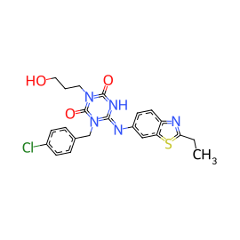 CCc1nc2ccc(/N=c3\[nH]c(=O)n(CCCO)c(=O)n3Cc3ccc(Cl)cc3)cc2s1